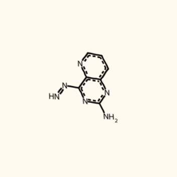 N=Nc1nc(N)nc2cccnc12